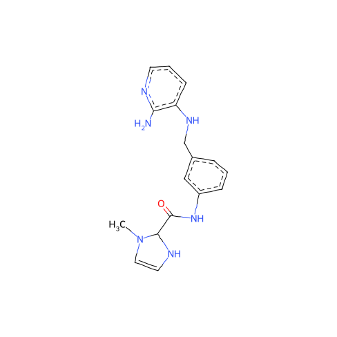 CN1C=CNC1C(=O)Nc1cccc(CNc2cccnc2N)c1